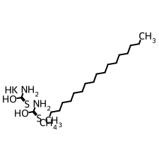 C.CCCCCCCCCCCCCCCCCC.NC(O)=S.NC(O)=S.[KH]